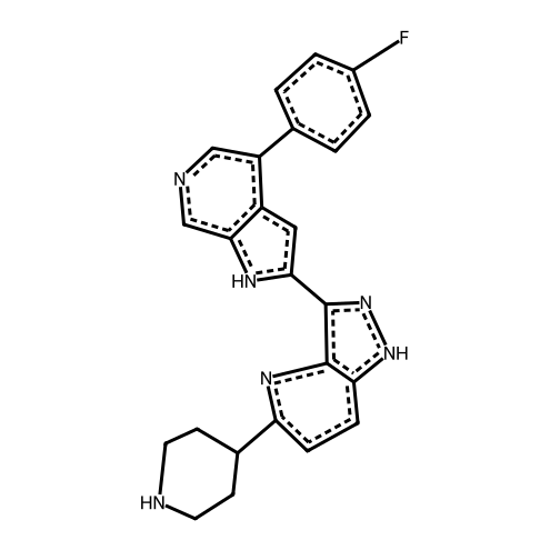 Fc1ccc(-c2cncc3[nH]c(-c4n[nH]c5ccc(C6CCNCC6)nc45)cc23)cc1